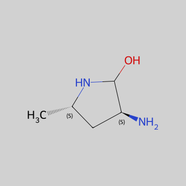 C[C@H]1C[C@H](N)C(O)N1